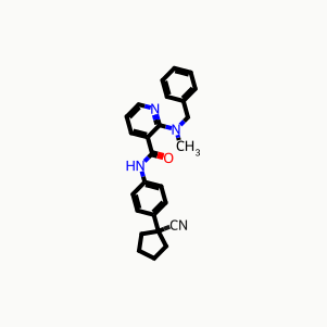 CN(Cc1ccccc1)c1ncccc1C(=O)Nc1ccc(C2(C#N)CCCC2)cc1